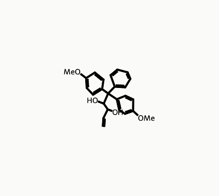 C=CC(O)C(O)C(c1ccccc1)(c1ccc(OC)cc1)c1ccc(OC)cc1